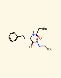 CC(C)(C)CCNC(=O)[C@H](CCc1ccccc1)NC(=O)CC(C)(C)C